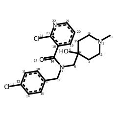 CN1CCC(O)(CN(Cc2ccc(Cl)cc2)C(=O)c2cccnc2Cl)CC1